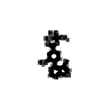 CC1CN(C(=O)OC(C)(C)C)CCN1c1ncnc2[nH]cc(Br)c12